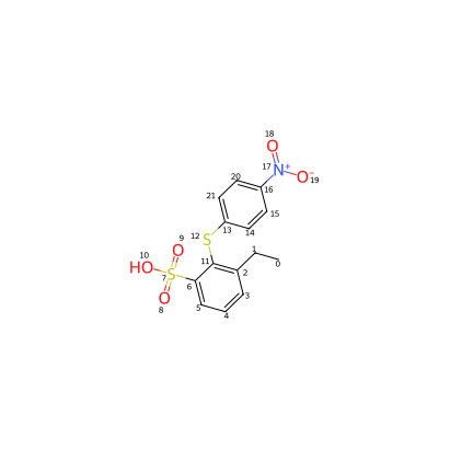 CCc1cccc(S(=O)(=O)O)c1Sc1ccc([N+](=O)[O-])cc1